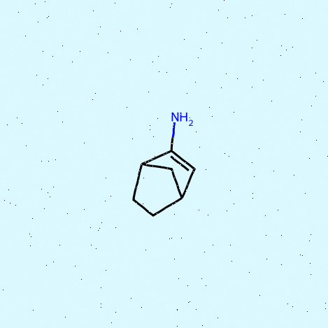 NC1=CC2CCC1C2